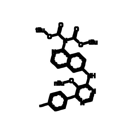 CCCCOc1c(Nc2ccc3c(N(C(=O)OC(C)(C)C)C(=O)OC(C)(C)C)nccc3c2)ncnc1-c1ccc(C)cc1